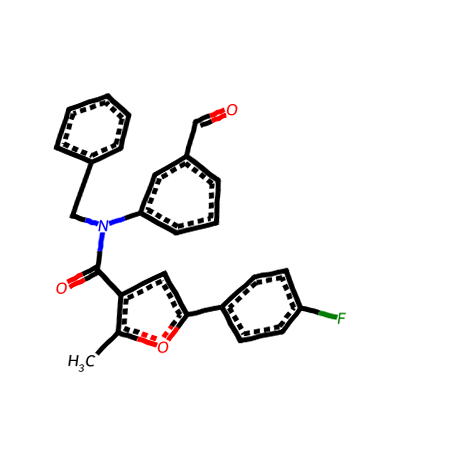 Cc1oc(-c2ccc(F)cc2)cc1C(=O)N(Cc1ccccc1)c1cccc(C=O)c1